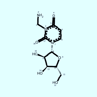 NCn1c(=O)ccn([C@@H]2O[C@H](CO)[C@@H](O)[C@H]2O)c1=O